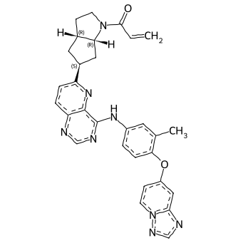 C=CC(=O)N1CC[C@H]2C[C@H](c3ccc4ncnc(Nc5ccc(Oc6ccn7ncnc7c6)c(C)c5)c4n3)C[C@H]21